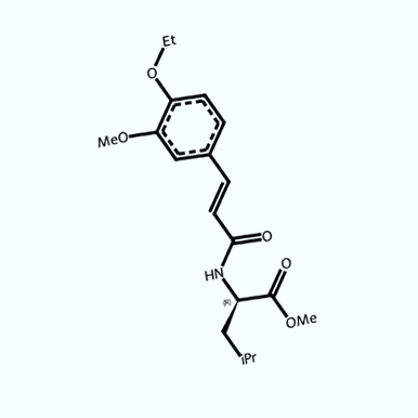 CCOc1ccc(C=CC(=O)N[C@H](CC(C)C)C(=O)OC)cc1OC